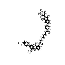 CC1(N)CCN(c2cnc(Sc3cccc(NC(=O)CCCCCCCC(=O)N4CCN(c5ccc6c(c5)C(=O)N(C5CCC(=O)NC5=O)C6=O)CC4)c3Cl)c(N)n2)CC1